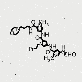 CC(C)CCn1cc(NC(=O)c2cc(NC=O)cn2C)cc1C(=O)Nc1cc(C(=O)NCCCN2CCOCC2)n(C)c1